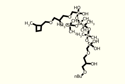 CCCCOCC(O)COC[Si](O)(O)O[Si](C)(C)O[Si](C)(C)[Si](C)(O[Si](C)(C)C)O[Si](O)(O)COCC(O)COCC1CCC1C